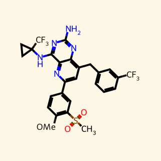 COc1ccc(-c2cc(Cc3cccc(C(F)(F)F)c3)c3nc(N)nc(NC4(C(F)(F)F)CC4)c3n2)cc1S(C)(=O)=O